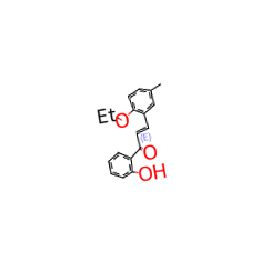 CCOc1ccc(C)cc1/C=C/C(=O)c1ccccc1O